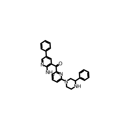 Nc1ncc(-c2ccccc2)cc1C(=O)c1cccc(N2CCNC(c3ccccc3)C2)n1